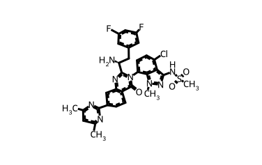 Cc1cc(C)nc(-c2ccc3c(=O)n(-c4ccc(Cl)c5c(NS(C)(=O)=O)nn(C)c45)c([C@@H](N)Cc4cc(F)cc(F)c4)nc3c2)n1